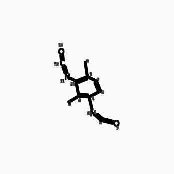 Cc1ccc(N=C=O)c(C)c1N=C=O